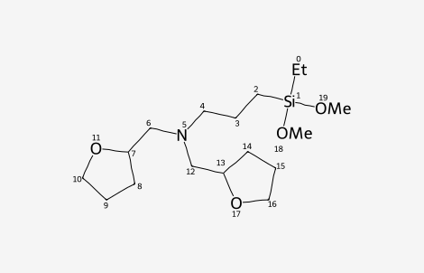 CC[Si](CCCN(CC1CCCO1)CC1CCCO1)(OC)OC